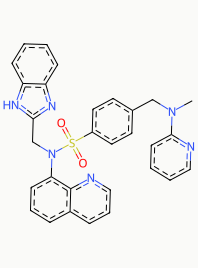 CN(Cc1ccc(S(=O)(=O)N(Cc2nc3ccccc3[nH]2)c2cccc3cccnc23)cc1)c1ccccn1